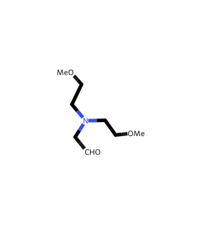 COCCN(CC=O)CCOC